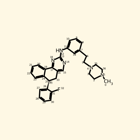 CN1CCN(CCc2cccc(Nc3ncc4c(n3)-c3ccccc3[C@H](c3ccccc3F)C4)c2)CC1